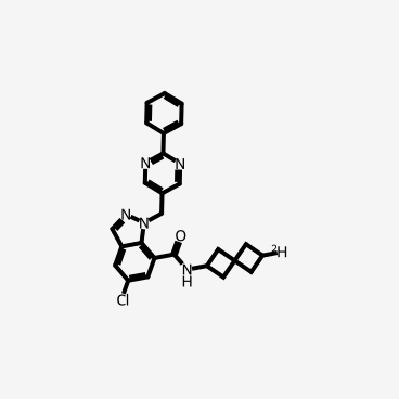 [2H]C1CC2(C1)CC(NC(=O)c1cc(Cl)cc3cnn(Cc4cnc(-c5ccccc5)nc4)c13)C2